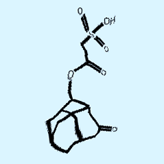 O=C(CS(=O)(=O)O)OC1C2CC3CC(C2)C(=O)C1C3